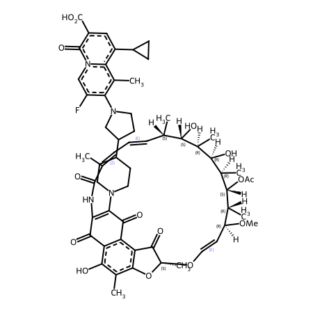 CO[C@H]1/C=C/O[C@@]2(C)Oc3c(C)c(O)c4c(c3C2=O)C(=O)C(N2CCC(C3CCN(c5c(F)cn6c(=O)c(C(=O)O)cc(C7CC7)c6c5C)C3)CC2)=C(NC(=O)/C(C)=C\C=C\[C@H](C)[C@H](O)[C@@H](C)[C@@H](O)[C@@H](C)[C@H](OC(C)=O)[C@@H]1C)C4=O